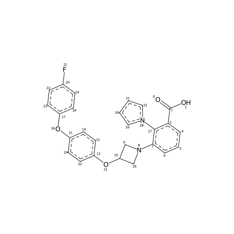 O=C(O)c1cccc(N2CC(Oc3ccc(Oc4ccc(F)cc4)cc3)C2)c1-n1cccc1